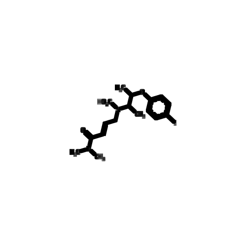 CC(Oc1ccc(I)cc1)C(C)N(CC=CC(=O)N(C)C)C(=O)O